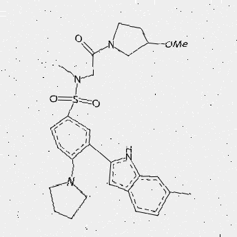 COC1CCN(C(=O)CN(C)S(=O)(=O)c2ccc(N3CCCC3)c(-c3cc4ccc(C)cc4[nH]3)c2)C1